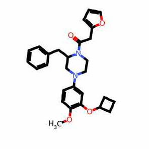 COc1ccc(N2CCN(C(=O)Cc3ccco3)C(Cc3ccccc3)C2)cc1OC1CCC1